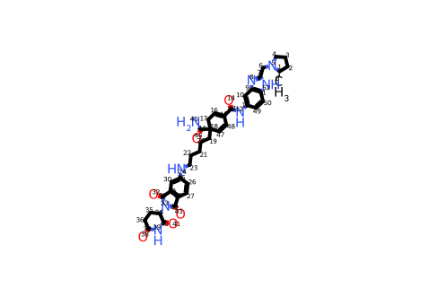 C[C@H]1CCCN1Cc1nc2cc(NC(=O)C3=CCC(CCCCCNc4ccc5c(c4)C(=O)N(C4CCC(=O)NC4=O)C5=O)(C(N)=O)C=C3)ccc2[nH]1